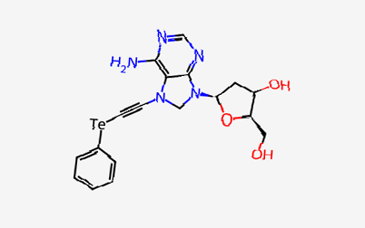 Nc1ncnc2c1N(C#C[Te]c1ccccc1)CN2[C@H]1CC(O)[C@@H](CO)O1